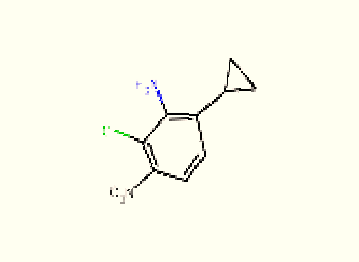 Nc1c(C2CC2)ccc([N+](=O)[O-])c1Cl